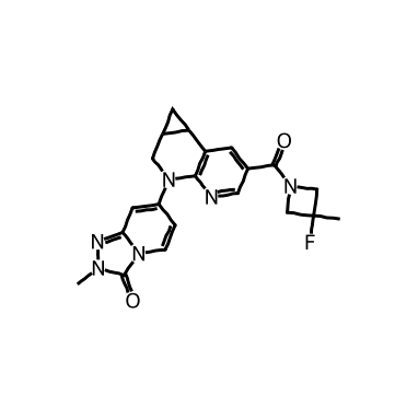 Cn1nc2cc(N3CC4CC4c4cc(C(=O)N5CC(C)(F)C5)cnc43)ccn2c1=O